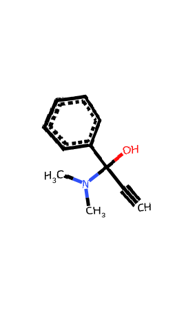 C#CC(O)(c1ccccc1)N(C)C